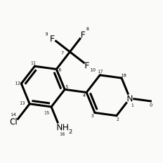 CN1CC=C(c2c(C(F)(F)F)ccc(Cl)c2N)CC1